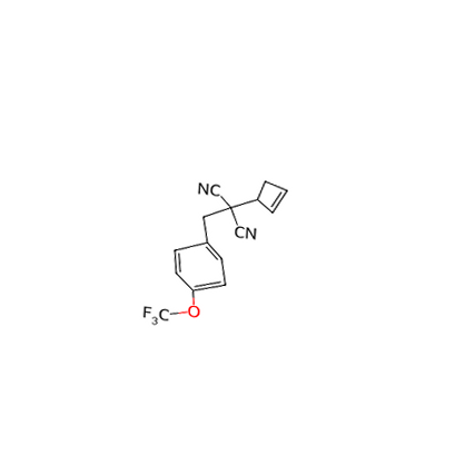 N#CC(C#N)(Cc1ccc(OC(F)(F)F)cc1)C1C=CC1